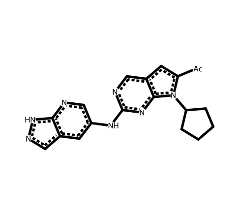 CC(=O)c1cc2cnc(Nc3cnc4[nH]ncc4c3)nc2n1C1CCCC1